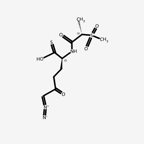 C[C@@H](C(=O)N[C@@H](CCC(=O)C=[N+]=[N-])C(O)=S)S(C)(=O)=O